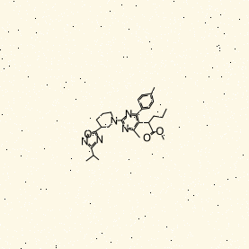 CCCC(C(=O)OC)c1c(C)nc(N2CCCC(c3nc(C(C)C)no3)C2)nc1-c1ccc(C)cc1